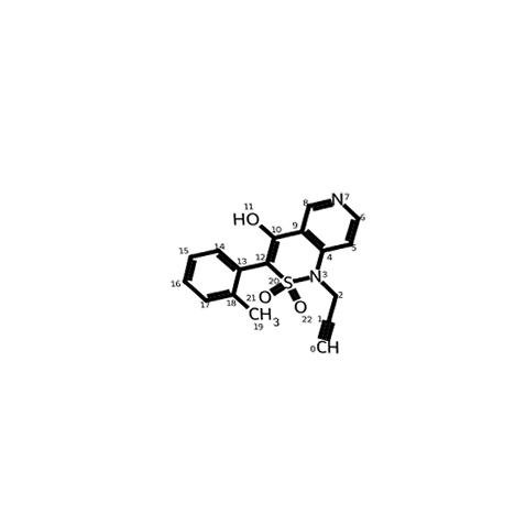 C#CCN1c2ccncc2C(O)=C(c2ccccc2C)S1(=O)=O